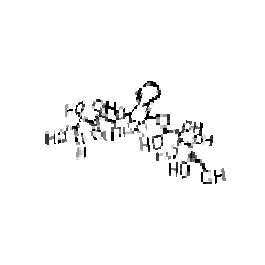 O=C(OC(O)[C@@H](O)[C@@H](O)[C@H](O)[C@H](O)CO)c1ccccc1C(=O)OC(O)[C@@H](O)[C@@H](O)[C@H](O)[C@H](O)CO